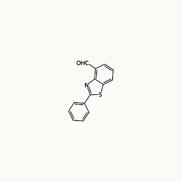 O=Cc1cccc2sc(-c3ccccc3)nc12